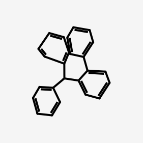 c1ccc([C](c2ccccc2)c2ccccc2-c2ccccc2)cc1